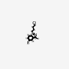 Cc1nn(CCCCCl)c2ccc(F)cc12